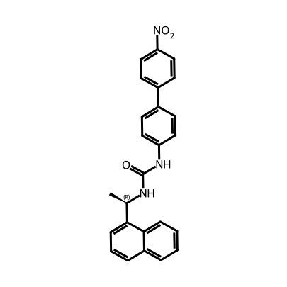 C[C@@H](NC(=O)Nc1ccc(-c2ccc([N+](=O)[O-])cc2)cc1)c1cccc2ccccc12